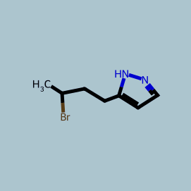 CC(Br)CCc1ccn[nH]1